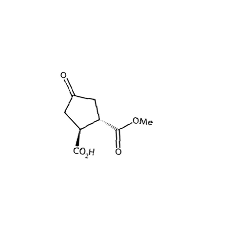 COC(=O)[C@H]1CC(=O)C[C@@H]1C(=O)O